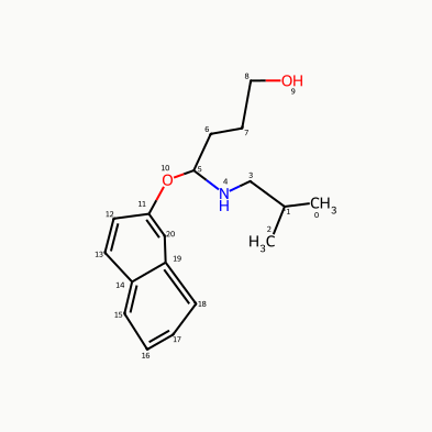 C[C](C)CNC(CCCO)Oc1ccc2ccccc2c1